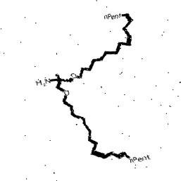 CCCCCC=CC/C=C\CCCCCCCCOCC(C)(N)COCCCCCCCC/C=C\C/C=C\CCCCC